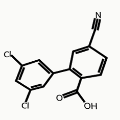 N#Cc1ccc(C(=O)O)c(-c2cc(Cl)cc(Cl)c2)c1